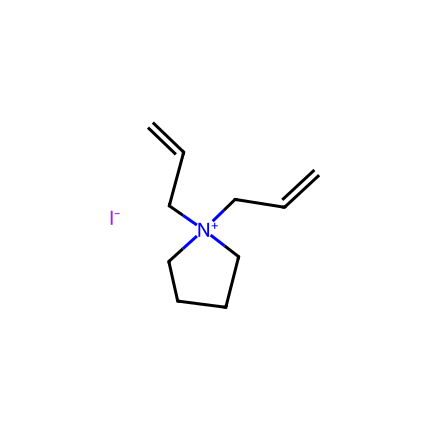 C=CC[N+]1(CC=C)CCCC1.[I-]